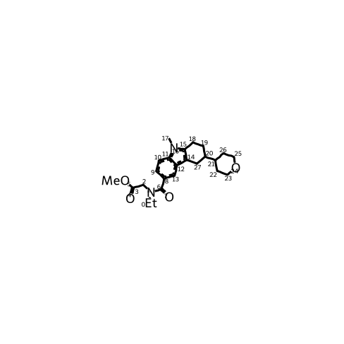 CCN(CC(=O)OC)C(=O)c1ccc2c(c1)c1c(n2C)CCC(C2CCOCC2)C1